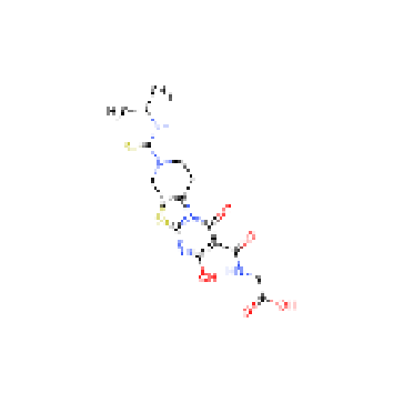 CC(C)NC(=S)N1CCc2c(sc3nc(O)c(C(=O)NCC(=O)O)c(=O)n23)C1